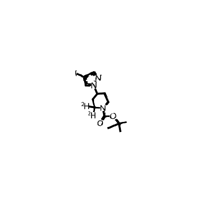 [2H]C1([2H])CC(n2cc(I)cn2)CCN1C(=O)OC(C)(C)C